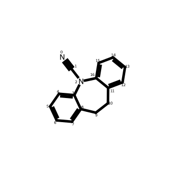 N#CN1c2ccccc2CCc2ccccc21